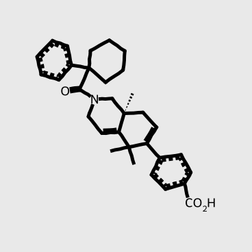 CC1(C)C(c2ccc(C(=O)O)cc2)=CC[C@]2(C)CN(C(=O)C3(c4ccccc4)CCCCC3)CC=C12